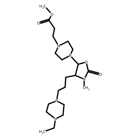 CCN1CCN(CCCC2C(N3CCN(CCC(=O)OC)CC3)OC(=O)N2C)CC1